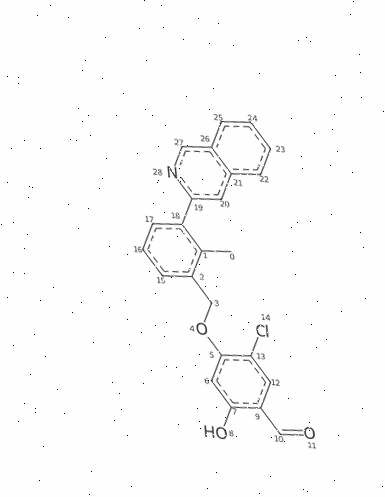 Cc1c(COc2cc(O)c(C=O)cc2Cl)cccc1-c1cc2ccccc2cn1